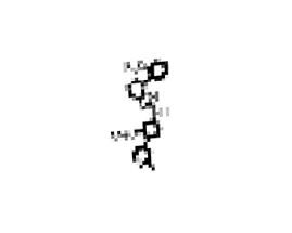 COc1cc(Nc2nc3n(n2)C(c2ccccc2C(F)(F)F)CCC3)ccc1-c1ccnc(C)c1